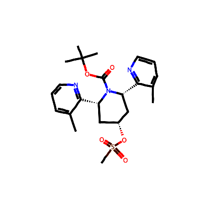 Cc1cccnc1[C@H]1C[C@@H](OS(C)(=O)=O)C[C@@H](c2ncccc2C)N1C(=O)OC(C)(C)C